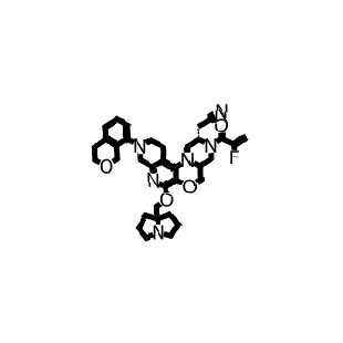 C=C(F)C(=O)N1CC2COc3c(OCC45CCCN4CCC5)nc4c(c3N2C[C@@H]1CC#N)CCN(c1cccc2c1COCC2)C4